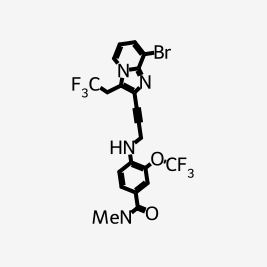 CNC(=O)c1ccc(NCC#Cc2nc3c(Br)cccn3c2CC(F)(F)F)c(OC(F)(F)F)c1